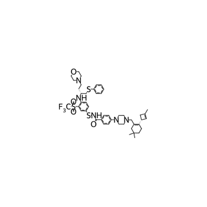 CC1=C[C@H](C2=C(CN3CCN(c4ccc(C(=O)NSc5ccc(N[C@H](CCN6CCOCC6)CSc6ccccc6)c(S(=O)(=O)C(F)(F)F)c5)cc4)CC3)CC(C)(C)CC2)C1